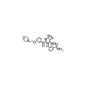 NC(=O)C1C2C=CC(C2)C1Nc1[nH]c(Nc2cccc(OCCN3CCOCC3)c2)nc2ncnc1-2